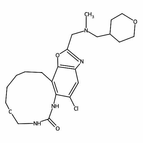 CN(Cc1nc2cc(Cl)c3c(c2o1)CCCCCCCNC(=O)N3)CC1CCOCC1